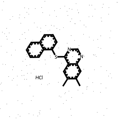 Cc1cc2ncnc(Sc3cccc4ccccc34)c2cc1C.Cl